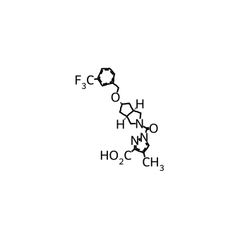 Cc1cn(C(=O)N2C[C@H]3C[C@H](OCc4cccc(C(F)(F)F)c4)C[C@H]3C2)nc1C(=O)O